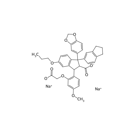 CCCOc1ccc2c(c1)C(c1ccc(OC)cc1OCC(=O)[O-])C(C(=O)[O-])C2(c1ccc2c(c1)CCC2)c1ccc2c(c1)OCO2.[Na+].[Na+]